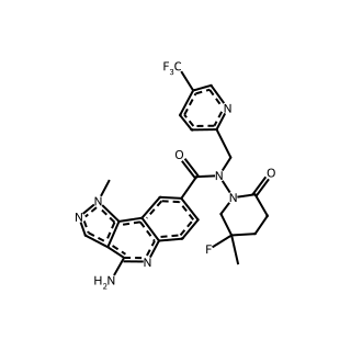 Cn1ncc2c(N)nc3ccc(C(=O)N(Cc4ccc(C(F)(F)F)cn4)N4CC(C)(F)CCC4=O)cc3c21